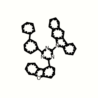 c1ccc(-c2cccc(-c3nc(-c4cccc5oc6ccccc6c45)nc(-n4c5ccccc5c5cc6ccccc6cc54)n3)c2)cc1